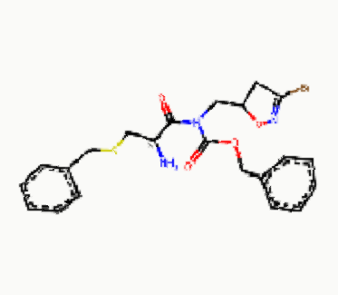 N[C@@H](CSCc1ccccc1)C(=O)N(CC1CC(Br)=NO1)C(=O)OCc1ccccc1